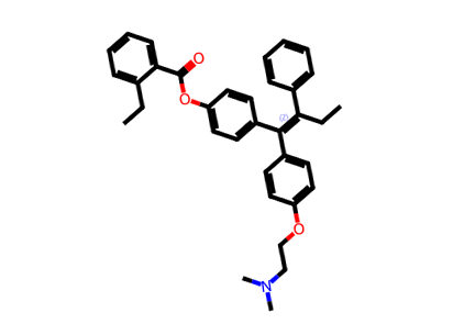 CC/C(=C(\c1ccc(OCCN(C)C)cc1)c1ccc(OC(=O)c2ccccc2CC)cc1)c1ccccc1